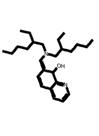 CCCCC(CC)CN(C=C1C=Cc2cccnc2C1O)CC(CC)CCCC